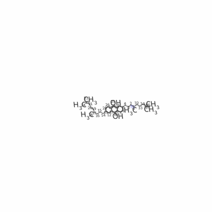 C/C(=C\CCc1ccc2c(O)c3cc(CCCC(C)CCCC(C)C)ccc3c(O)c2c1)CCCC(C)C